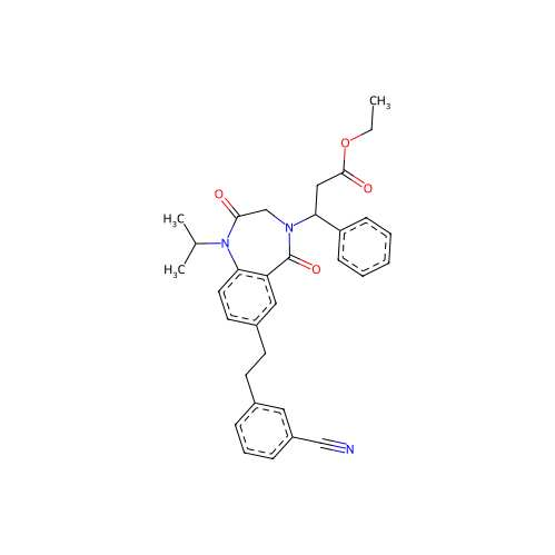 CCOC(=O)CC(c1ccccc1)N1CC(=O)N(C(C)C)c2ccc(CCc3cccc(C#N)c3)cc2C1=O